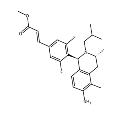 COC(=O)/C=C/c1cc(F)c([C@@H]2c3ccc(N)c(C)c3C[C@@H](C)N2CC(C)C)c(F)c1